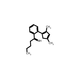 CCCCC(=N)c1ccccc1C1=C(C)C=C(C)C1